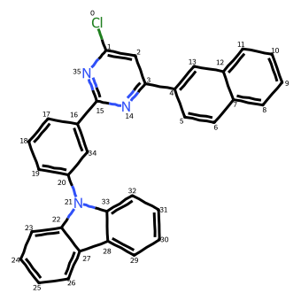 Clc1cc(-c2ccc3ccccc3c2)nc(-c2cccc(-n3c4ccccc4c4ccccc43)c2)n1